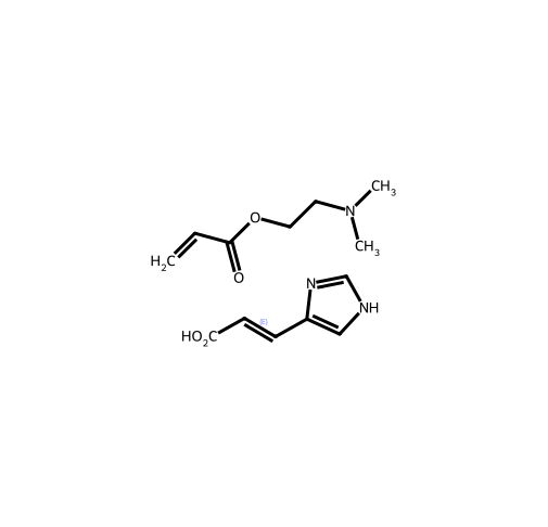 C=CC(=O)OCCN(C)C.O=C(O)/C=C/c1c[nH]cn1